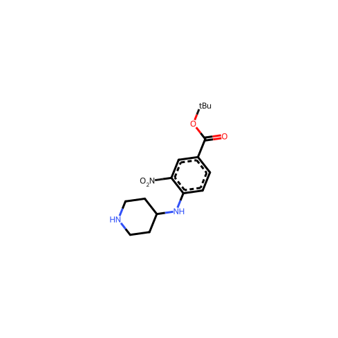 CC(C)(C)OC(=O)c1ccc(NC2CCNCC2)c([N+](=O)[O-])c1